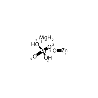 O=S(=O)(O)O.[MgH2].[O]=[Zn]